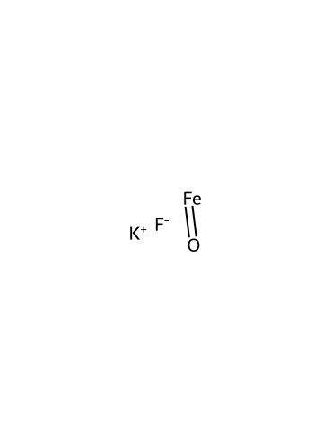 [F-].[K+].[O]=[Fe]